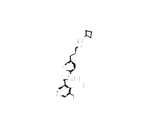 Cc1c(F)cncc1C(=O)Nc1ccc(CC/C=N/OC2CCC2)cn1